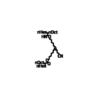 CCCCCCCCC(CCCCCC)C(=N)OCCCCCCN(CCCC#N)CCCCCCOC(=O)C(CCCCCC)CCCCCCCC